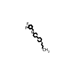 C=CCCC[C@H]1CC[C@H]([C@H]2CC[C@H](OCc3ccc(F)c(F)c3)CC2)CC1